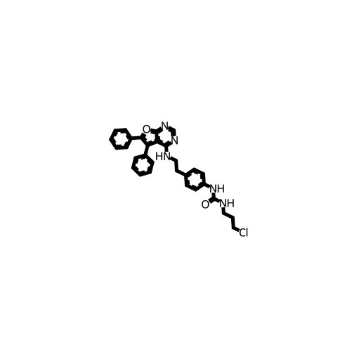 O=C(NCCCCl)Nc1ccc(CCNc2ncnc3oc(-c4ccccc4)c(-c4ccccc4)c23)cc1